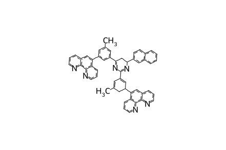 CC1=CC(C2=NC(c3ccc4ccccc4c3)CC(c3cc(C)cc(-c4cc5cccnc5c5ncccc45)c3)=N2)=CC(c2cc3cccnc3c3ncccc23)C1